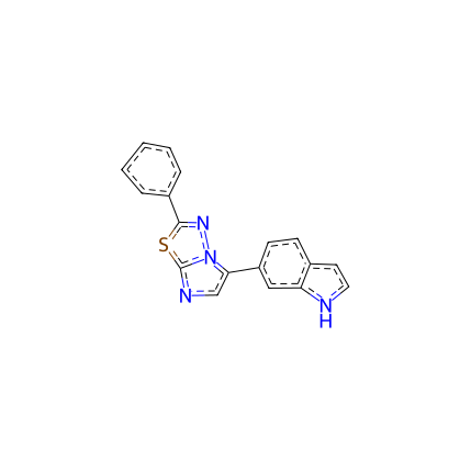 c1ccc(-c2nn3c(-c4ccc5cc[nH]c5c4)cnc3s2)cc1